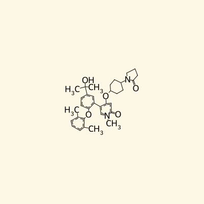 Cc1cccc(C)c1Oc1ccc(C(C)(C)O)cc1-c1cn(C)c(=O)cc1OC1CCC(N2CCCC2=O)CC1